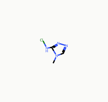 Cn1cnnc1NCl